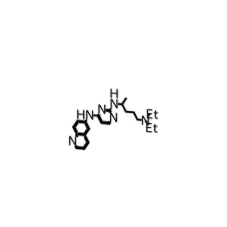 CCN(CC)CCCC(C)Nc1nccc(Nc2ccc3ncccc3c2)n1